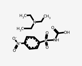 CCN(CC)CC.O=C(O)NS(=O)(=O)c1ccc([N+](=O)[O-])cc1